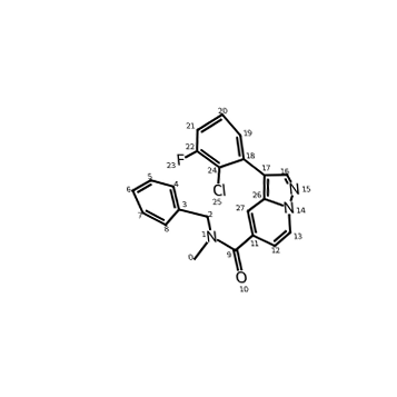 CN(Cc1ccccc1)C(=O)c1ccn2ncc(-c3cccc(F)c3Cl)c2c1